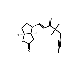 CC#CCC(C)(C)C(=O)C=C[C@H]1CC[C@@H]2OC(=O)C[C@@H]21